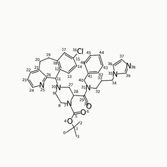 CC(C)(C)OC(=O)N1CCN(C2c3ccc(Cl)cc3CCc3cccnc32)CC1C(=O)N(CCCn1ccnc1)Cc1ccccc1